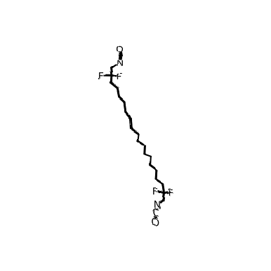 O=C=NCC(F)(F)CCCCCCCCCCCCCCCCC(F)(F)CN=C=O